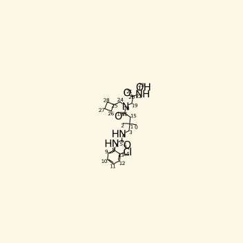 CC(C)(CNC(=O)Nc1ccccc1Cl)CC(=O)N(CC(=O)NO)CC1CCC1